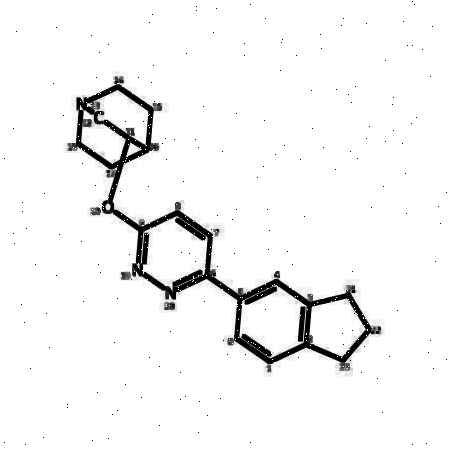 c1cc2c(cc1-c1ccc(OC3CN4CCC3CC4)nn1)CCC2